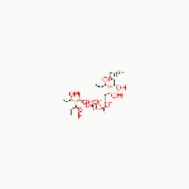 CC(=O)[O-].CC(=O)[O-].CCC(O)P(C(O)CC)C(O)CC.CCC(O)P(C(O)CC)C(O)CC.[Pd+2]